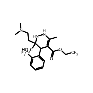 CC1=C(C(=O)OCC(F)(F)F)C(c2ccccc2C(F)(F)F)C(CCN(C)C)(C(=O)O)NN1